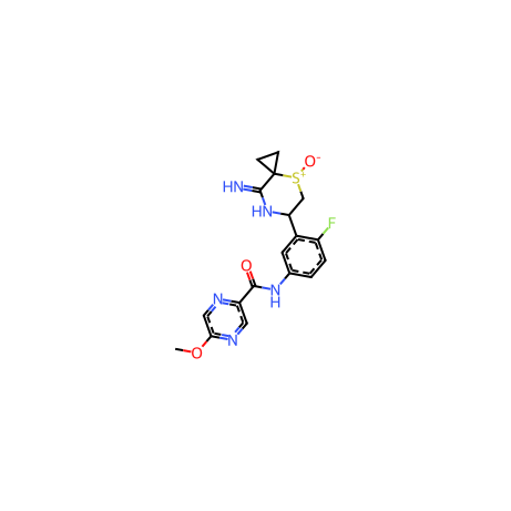 COc1cnc(C(=O)Nc2ccc(F)c(C3C[S+]([O-])C4(CC4)C(=N)N3)c2)cn1